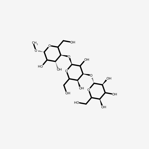 CO[C@@H]1OC(CO)[C@@H](O[C@@H]2OC(CO)[C@H](O)[C@H](O[C@H]3OC(CO)[C@H](O)C(O)[C@@H]3O)C2O)[C@H](O)C1O